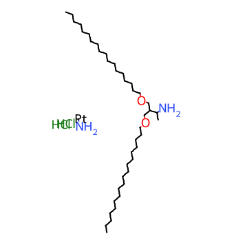 CCCCCCCCCCCCCCCCCCOCC(COCCCCCCCCCCCCCCCCCC)C(C)N.Cl.Cl.[NH2][Pt]